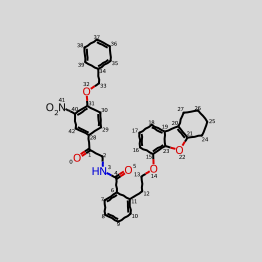 O=C(CNC(=O)c1ccccc1CCOc1cccc2c3c(oc12)CCCC3)c1ccc(OCc2ccccc2)c([N+](=O)[O-])c1